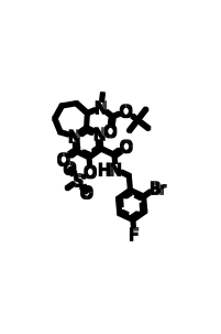 CN(C(=O)OC(C)(C)C)C1CCCCn2c1nc(C(=O)NCc1ccc(F)cc1Br)c(OS(C)(=O)=O)c2=O